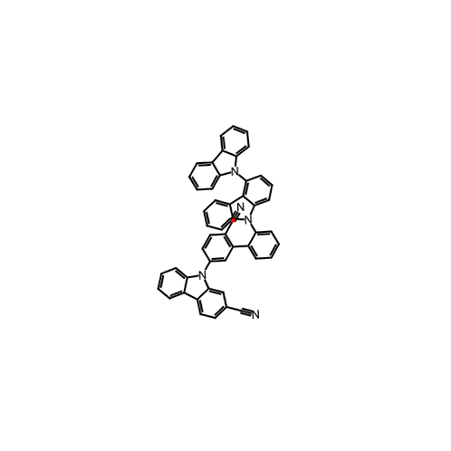 N#Cc1ccc2c3ccccc3n(-c3ccc(C#N)c(-c4ccccc4-n4c5ccccc5c5c(-n6c7ccccc7c7ccccc76)cccc54)c3)c2c1